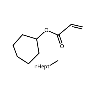 C=CC(=O)OC1CCCCC1.CC[CH]CCCCC